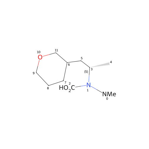 CNN(C(=O)O)[C@@H](C)CC1CCCOC1